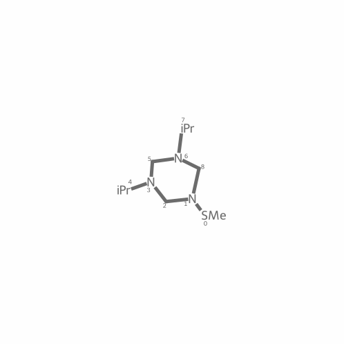 CSN1CN(C(C)C)CN(C(C)C)C1